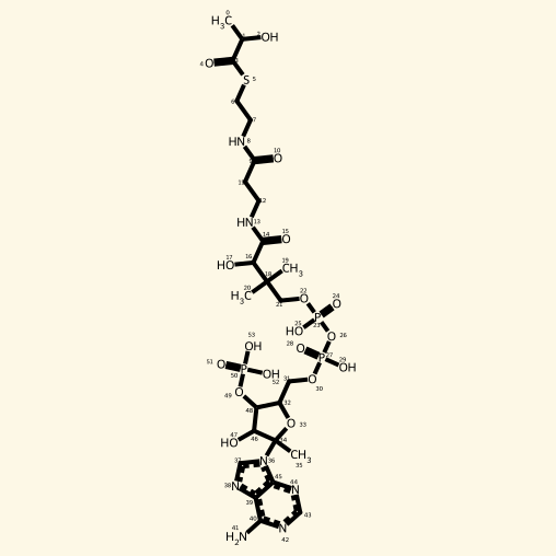 CC(O)C(=O)SCCNC(=O)CCNC(=O)C(O)C(C)(C)COP(=O)(O)OP(=O)(O)OCC1OC(C)(n2cnc3c(N)ncnc32)C(O)C1OP(=O)(O)O